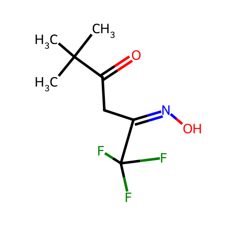 CC(C)(C)C(=O)CC(=NO)C(F)(F)F